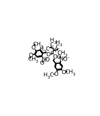 COc1cc(COP(OCc2cc(OC)c(OC)cc2[N+](=O)[O-])N(C(C)C)C(C)C)c([N+](=O)[O-])cc1OC